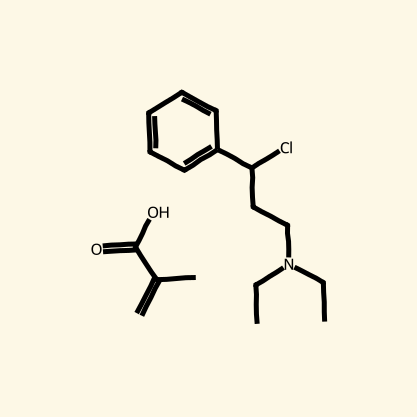 C=C(C)C(=O)O.CCN(CC)CCC(Cl)c1ccccc1